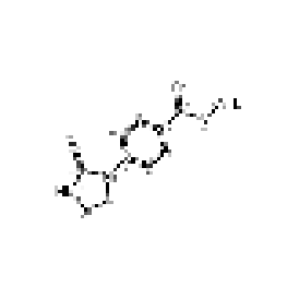 NNC(=O)c1ccc(N2CCNC2=O)cc1